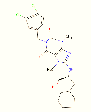 Cn1c(N[C@H](CO)CC2CCCCC2)nc2c1c(=O)n(Cc1ccc(Cl)c(Cl)c1)c(=O)n2C